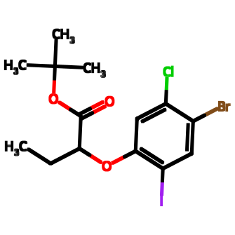 CCC(Oc1cc(Cl)c(Br)cc1I)C(=O)OC(C)(C)C